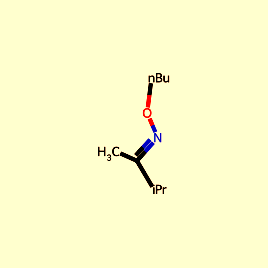 CCCCO/N=C(\C)C(C)C